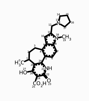 CC1CCc2c(ccc3c2cc(CN2CCCC2)n3C)-c2[nH]c(=O)c(C(=O)O)c(O)c21